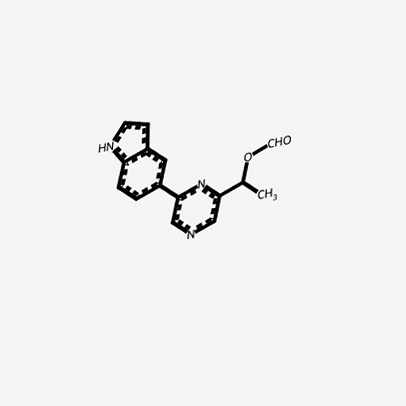 CC(OC=O)c1cncc(-c2ccc3[nH]ccc3c2)n1